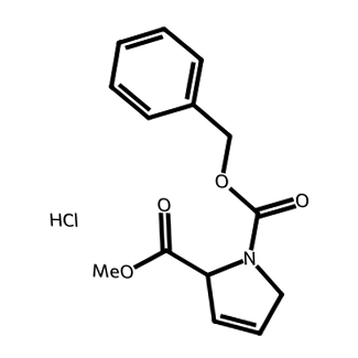 COC(=O)C1C=CCN1C(=O)OCc1ccccc1.Cl